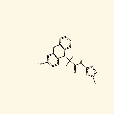 Cc1cnc(NC(=O)C(C)(C)[C@@H]2c3ccccc3Oc3cc(O)ccc32)s1